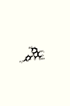 COC(=O)c1c(N)c2ccc(Br)nc2n(-c2ccc(N)nc2)c1=O